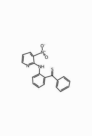 O=[N+]([O-])c1cccnc1Nc1ccccc1C(=S)c1ccccc1